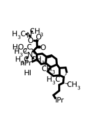 CCCC1C[C@@]2(C)C(=CCC3C2CC[C@@]2(C)C3CC[C@@H]2[C@H](C)CCCC(C)C)CC1[C@](C(=O)O)(C(=O)C(=O)ON(C)C)[N+](C)(C)C.I